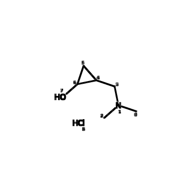 CN(C)CC1CC1O.Cl